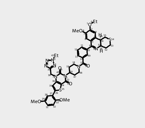 CCOc1cc2c(cc1OC)C(c1cccc(C(=O)N3CCC(n4c(=O)c5sc(-c6cc(OC)ccc6OC)cc5n(Cc5nnn(CC)n5)c4=O)CC3)c1)=N[C@@H]1CCSC[C@H]21